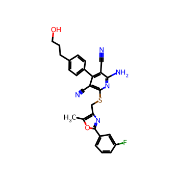 Cc1oc(-c2cccc(F)c2)nc1CSc1nc(N)c(C#N)c(-c2ccc(CCCO)cc2)c1C#N